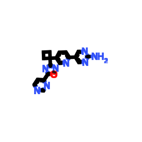 Nc1ncc(-c2ccc(C3(c4noc(-c5ccncn5)n4)CCC3)cn2)cn1